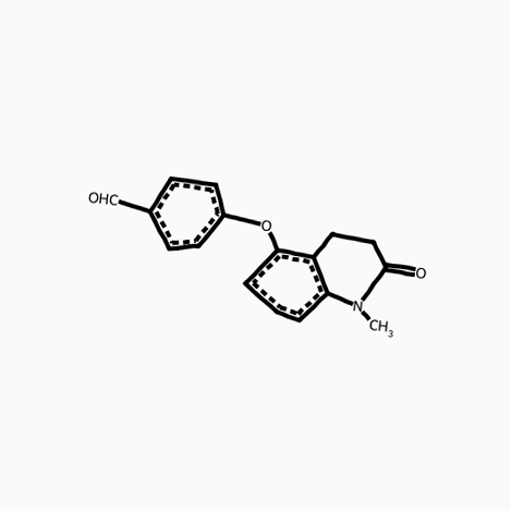 CN1C(=O)CCc2c(Oc3ccc(C=O)cc3)cccc21